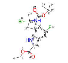 CCOC(=O)c1cc2cc(F)cc(CC(C)(Br)NC(=O)OC(C)(C)C)c2[nH]1